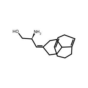 N[C@@H](C=C1CCC(/C2=C\C/C=C\CCC2)CC1)CO